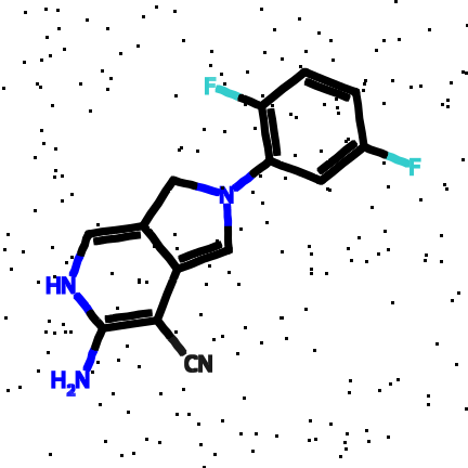 N#CC1=C(N)NC=C2CN(c3cc(F)ccc3F)C=C21